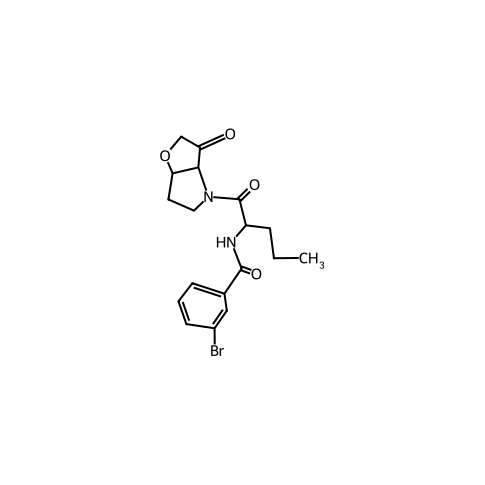 CCCC(NC(=O)c1cccc(Br)c1)C(=O)N1CCC2OCC(=O)C21